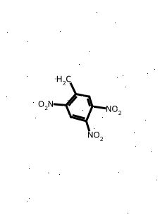 [CH2]c1cc([N+](=O)[O-])c([N+](=O)[O-])cc1[N+](=O)[O-]